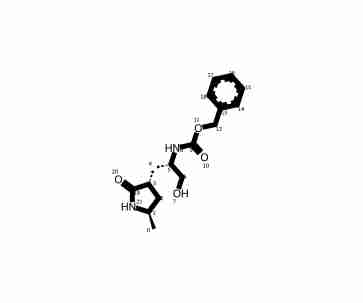 C[C@@H]1C[C@@H](C[C@@H](CO)NC(=O)OCc2ccccc2)C(=O)N1